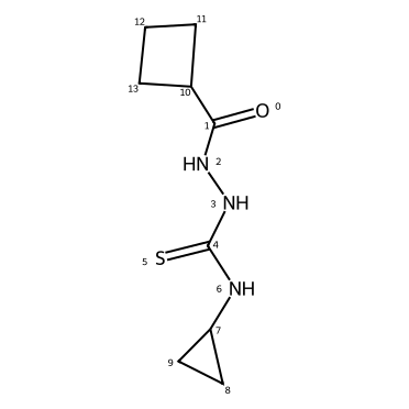 O=C(NNC(=S)NC1CC1)C1CCC1